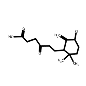 C=C1C(Cl)CCC(C)(C)C1CCC(=O)CCC(=O)O